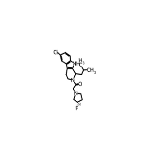 CC(C)CC1c2[nH]c3ccc(Cl)cc3c2CCN1C(=O)CN1CC[C@H](F)C1